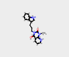 Cn1c(=O)n(CCCc2c[nH]c3ccccc23)c(=O)c2cccnc21